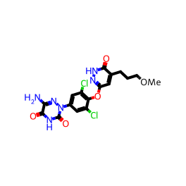 COCCCc1cc(Oc2c(Cl)cc(-n3nc(N)c(=O)[nH]c3=O)cc2Cl)n[nH]c1=O